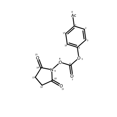 CC(=O)c1ccc(OC(=O)ON2C(=O)CCC2=O)cc1